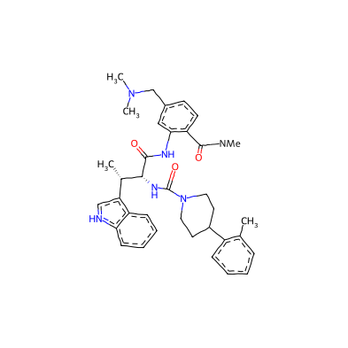 CNC(=O)c1ccc(CN(C)C)cc1NC(=O)[C@H](NC(=O)N1CCC(c2ccccc2C)CC1)[C@@H](C)c1c[nH]c2ccccc12